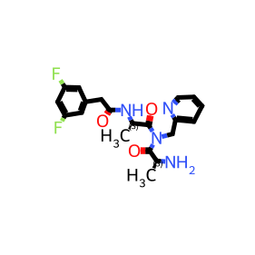 C[C@H](N)C(=O)N(Cc1ccccn1)C(=O)[C@H](C)NC(=O)Cc1cc(F)cc(F)c1